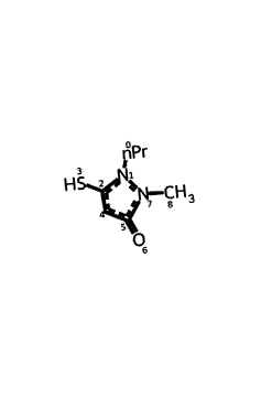 CCCn1c(S)cc(=O)n1C